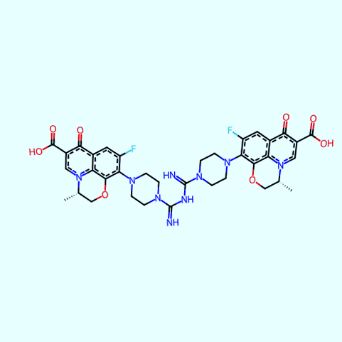 C[C@@H]1COc2c(N3CCN(C(=N)NC(=N)N4CCN(c5c(F)cc6c(=O)c(C(=O)O)cn7c6c5OC[C@@H]7C)CC4)CC3)c(F)cc3c(=O)c(C(=O)O)cn1c23